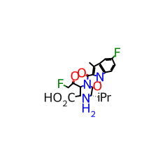 Cc1c(C(=O)N(C(=O)[C@@H](N)C(C)C)C(CC(=O)O)C(=O)CF)n(C)c2ccc(F)cc12